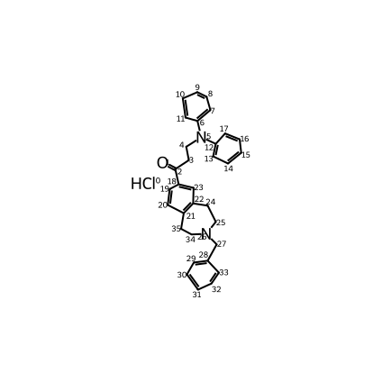 Cl.O=C(CCN(c1ccccc1)c1ccccc1)c1ccc2c(c1)CCN(Cc1ccccc1)CC2